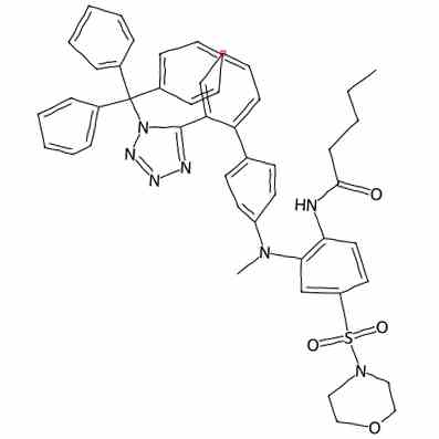 CCCCC(=O)Nc1ccc(S(=O)(=O)N2CCOCC2)cc1N(C)c1ccc(-c2ccccc2-c2nnnn2C(c2ccccc2)(c2ccccc2)c2ccccc2)cc1